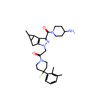 Cc1cccc(C2(F)CCN(C(=O)Cn3nc(C(=O)N4CCC(N)CC4)c4c3CC3C(C)C43)CC2)c1C